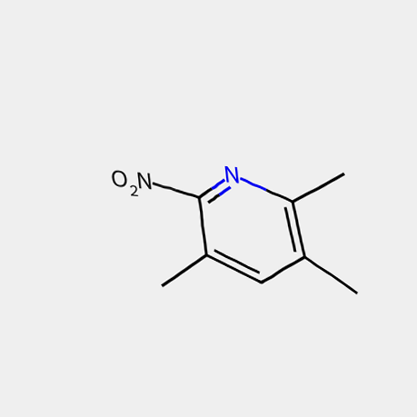 Cc1cc(C)c([N+](=O)[O-])nc1C